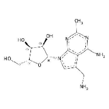 Cc1nc(N)c2c(CN)cn([C@@H]3O[C@H](CO)[C@@H](O)[C@H]3O)c2n1